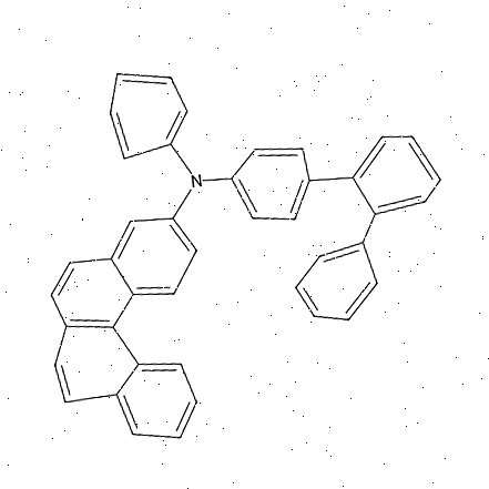 c1ccc(-c2ccccc2-c2ccc(N(c3ccccc3)c3ccc4c(ccc5ccc6ccccc6c54)c3)cc2)cc1